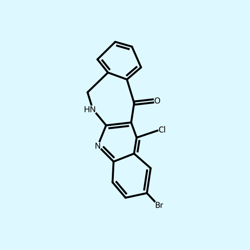 O=C1c2ccccc2CNc2nc3ccc(Br)cc3c(Cl)c21